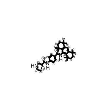 CC1(C)CCC(C)(C)c2c1cc1c(c2NC(=O)c2ccc(NC(=O)C3CNCCO3)cc2)C(C)(C)CCC1(C)C